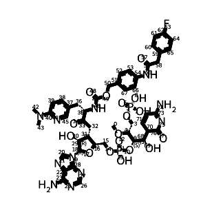 CO[C@H](COP(=O)(O)O)[C@@H](OP(=O)(O)OC[C@H]1O[C@@H](n2cnc3c(N)ncnc32)[C@H](O)[C@@H]1CC(=O)[C@H](Cc1ccc(N(C)C)nc1)NC(=O)OCc1ccc(NC(=O)Cc2ccc(F)cc2)cc1)[C@@H](O)C1C=CC(N)=NC1=O